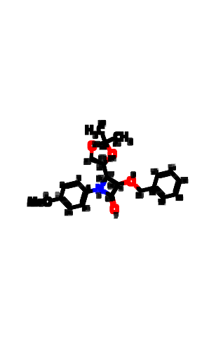 COc1ccc(N2C(=O)[C@H](OCc3ccccc3)[C@@H]2[C@H]2COC(C)(C)O2)cc1